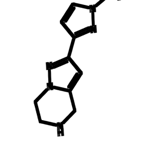 Cn1ccc(-c2cc3n(n2)CCNC3)n1